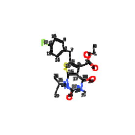 CCOC(=O)c1c(Cc2ccc(F)cc2)sc2c1c(=O)n(C)c(=O)n2C(C)C